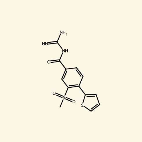 CS(=O)(=O)c1cc(C(=O)NC(=N)N)ccc1-c1cccs1